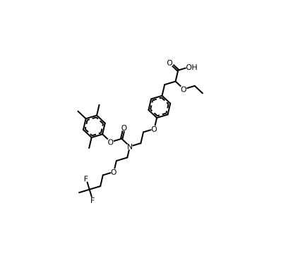 CCOC(Cc1ccc(OCCN(CCOCCC(C)(F)F)C(=O)Oc2cc(C)c(C)cc2C)cc1)C(=O)O